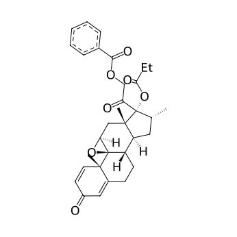 CCC(=O)O[C@]1(C(=O)COC(=O)c2ccccc2)[C@H](C)C[C@H]2[C@@H]3CCC4=CC(=O)C=C[C@]4(C)[C@@]34O[C@H]4C[C@@]21C